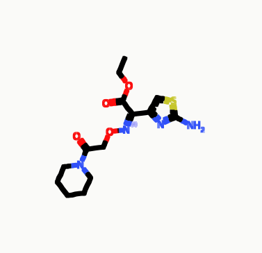 CCOC(=O)/C(=N\OCC(=O)N1CCCCC1)c1csc(N)n1